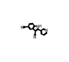 N#Cc1ccc2[nH]c(-c3cccnc3)c(C#N)c2c1